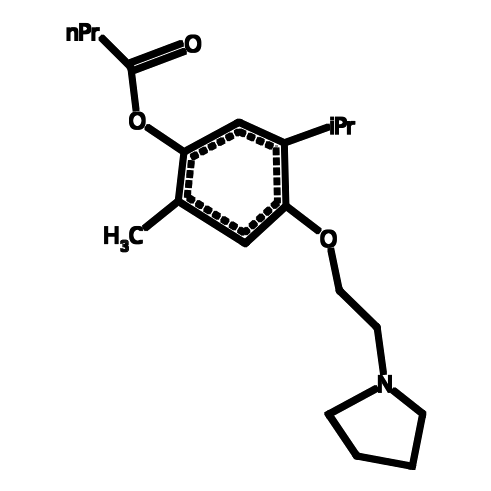 CCCC(=O)Oc1cc(C(C)C)c(OCCN2CCCC2)cc1C